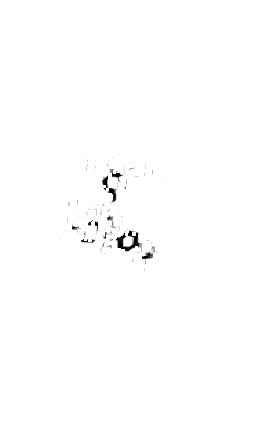 COc1nc(CNC(=O)[C@H]2CN(C(C)=O)CCN2S(=O)(=O)c2ccc(OC(F)(F)F)cc2)ccc1C